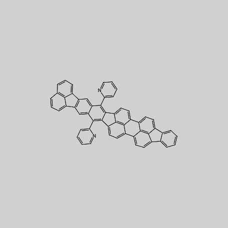 c1ccc(-c2c3cc4c(cc3c(-c3ccccn3)c3c5ccc6c7ccc8c9c(ccc(c%10ccc(c23)c5c%106)c97)-c2ccccc2-8)c2cccc3cccc4c32)nc1